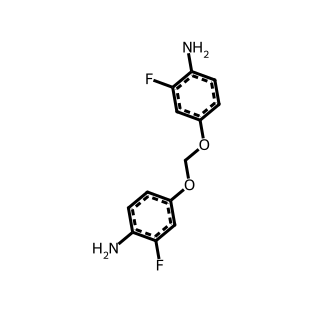 Nc1ccc(OCOc2ccc(N)c(F)c2)cc1F